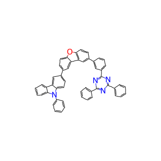 c1ccc(-c2nc(-c3ccccc3)nc(-c3cccc(-c4ccc5oc6ccc(-c7ccc8c(c7)c7ccccc7n8-c7ccccc7)cc6c5c4)c3)n2)cc1